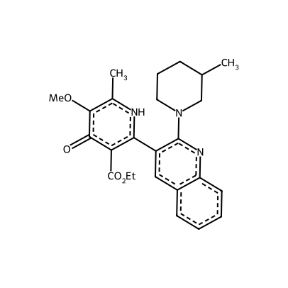 CCOC(=O)c1c(-c2cc3ccccc3nc2N2CCCC(C)C2)[nH]c(C)c(OC)c1=O